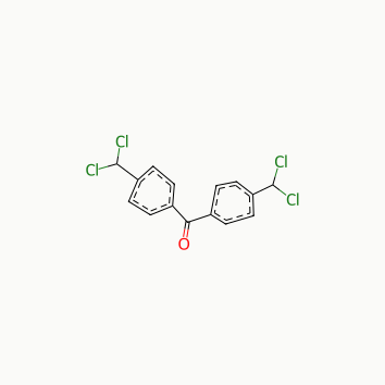 O=C(c1ccc(C(Cl)Cl)cc1)c1ccc(C(Cl)Cl)cc1